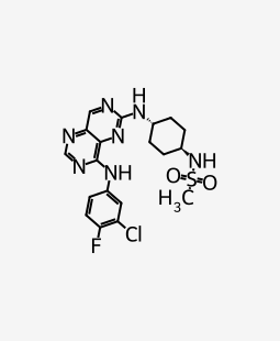 CS(=O)(=O)N[C@H]1CC[C@H](Nc2ncc3ncnc(Nc4ccc(F)c(Cl)c4)c3n2)CC1